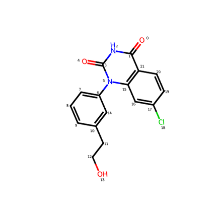 O=c1[nH]c(=O)n(-c2cccc(CCO)c2)c2cc(Cl)ccc12